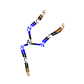 S=C=[N][Al]([N]=C=S)[N]=C=S